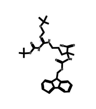 CC(C)(C)OC/N=C(\NCCCC(C)(NC(=O)OCC1c2ccccc2-c2ccccc21)C(=O)O)NC(=O)OC(C)(C)C